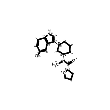 CN(C(=O)[C@@H]1CCCO1)[C@H]1CCC[C@@H](c2c[nH]c3ccc(Cl)cc23)C1